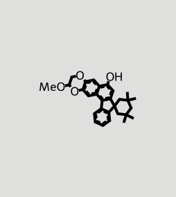 COC1COc2cc3c(O)cc4c(c3cc2O1)-c1ccccc1C41CC(C)(C)CC(C)(C)C1